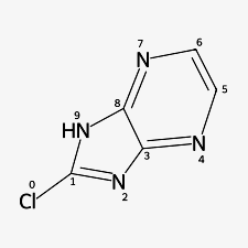 Clc1nc2nccnc2[nH]1